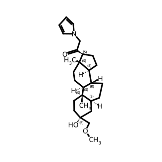 COC[C@@]1(O)CC[C@@]2(C)[C@@H](CC[C@@H]3[C@@H]2CC[C@]2(C)[C@@H](C(=O)Cn4cccc4)CC[C@@H]32)C1